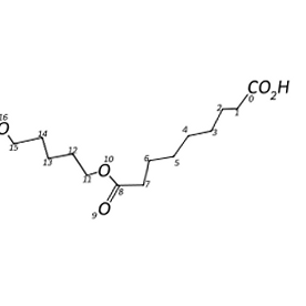 O=C(O)CCCCCCCC(=O)OCCCCCO